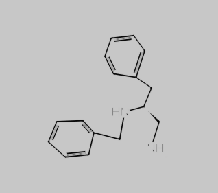 NC[C@H](Cc1ccccc1)NCc1ccccc1